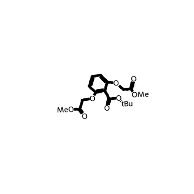 COC(=O)COc1cccc(OCC(=O)OC)c1C(=O)OC(C)(C)C